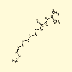 CC/C=C\CCCCCCCC(=O)OCC(C)C